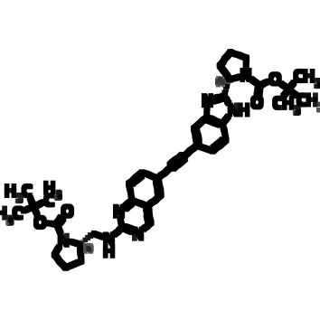 CC(C)(C)OC(=O)N1CCC[C@H]1CNc1ncc2cc(C#Cc3ccc4[nH]c([C@@H]5CCCN5C(=O)OC(C)(C)C)nc4c3)ccc2n1